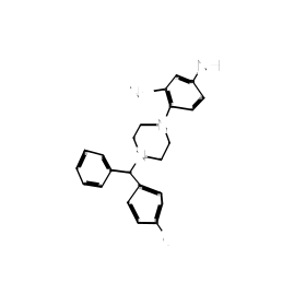 N#Cc1cc(N)ccc1N1CCN(C(c2ccccc2)c2ccc(Cl)cc2)CC1